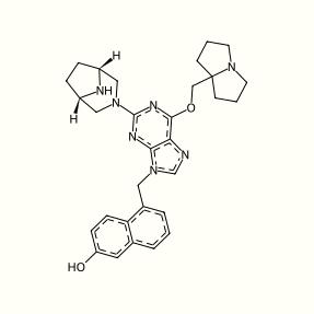 Oc1ccc2c(Cn3cnc4c(OCC56CCCN5CCC6)nc(N5C[C@H]6CC[C@@H](C5)N6)nc43)cccc2c1